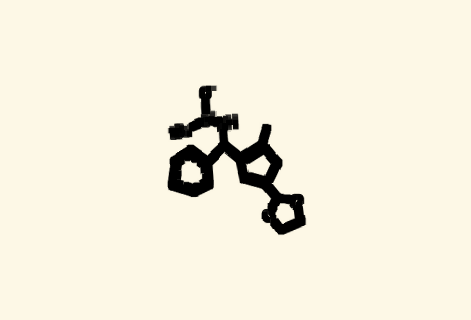 CC1=C(C(N[S+]([O-])C(C)(C)C)c2ccccc2)C=C(C2OCCO2)C1